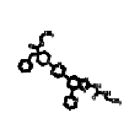 CCNC(=O)Nc1nc2cc(-c3cnc(N4CCC(Cc5ccccc5)(C(=O)OCC)CC4)nc3)cc(-c3ccccn3)c2s1